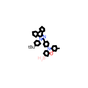 Bc1ccc2c(c1)Oc1cc(C)ccc1N2c1ccc(-c2nc3c4ccccc4c4ccccc4c3n2-c2ccc(C(C)(C)C)cc2)cc1